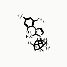 Cc1cc(C)c(N2C=CN([C@H]3C[C@H]4C[C@@H]([C@@H]3C)C4(C)C)C2C)c(C)c1